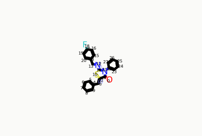 O=C1/C(=C/c2ccccc2)S/C(=N\Cc2ccc(F)cc2)N1c1ccccc1